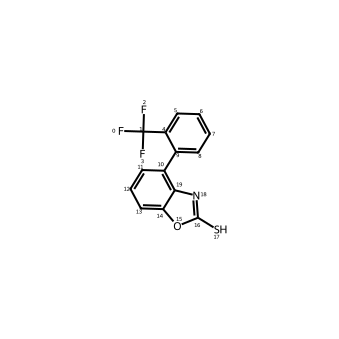 FC(F)(F)c1ccccc1-c1cccc2oc(S)nc12